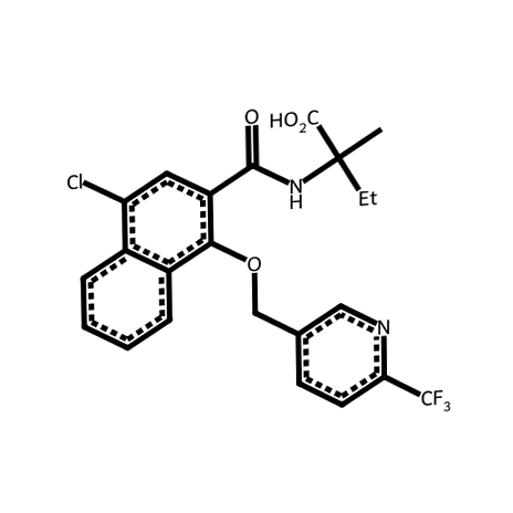 CCC(C)(NC(=O)c1cc(Cl)c2ccccc2c1OCc1ccc(C(F)(F)F)nc1)C(=O)O